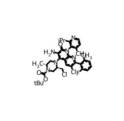 Cc1cccc(F)c1-c1nc2c(cc1Cl)c(N1C[C@@H](C)N(C(=O)OC(C)(C)C)C[C@@H]1CCl)c(N)c(=O)n2-c1c(C)ccnc1C(C)C